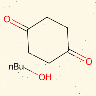 CCCCO.O=C1CCC(=O)CC1